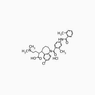 Cc1ccccc1C(=O)Nc1ccc(C(=O)N2CCCC(C(CCN(C)C)C(=O)O)c3cc(Cl)ccc32)c(C)c1.Cl